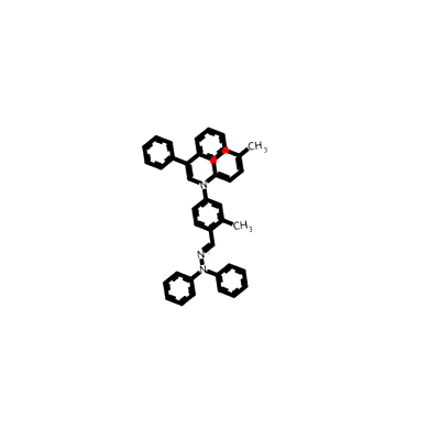 CC1=CC=C(N(C=C(c2ccccc2)c2ccccc2)c2ccc(/C=N/N(c3ccccc3)c3ccccc3)c(C)c2)CC1